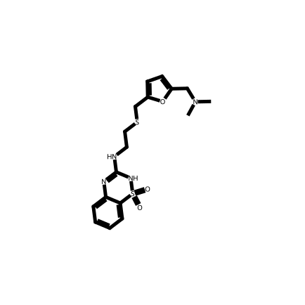 CN(C)Cc1ccc(CSCCNC2=Nc3ccccc3S(=O)(=O)N2)o1